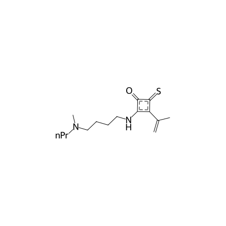 C=C(C)c1c(NCCCCN(C)CCC)c(=O)c1=S